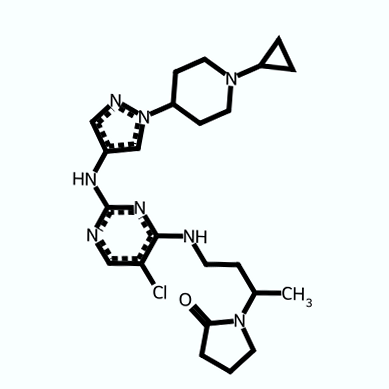 CC(CCNc1nc(Nc2cnn(C3CCN(C4CC4)CC3)c2)ncc1Cl)N1CCCC1=O